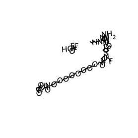 CCCCCNc1nc(N)nc2ccn(Cc3ccc(CN4CCN(C(=O)CCOCCOCCOCCOCCOCCOCCOCCOCCNC(=O)CCN5C(=O)C=CC5=O)C[C@H]4CF)cc3OC)c12.O=C(O)C(F)(F)F